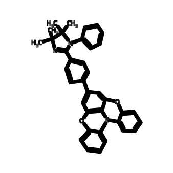 CC1(C)N=C(c2ccc(-c3cc4c5c(c3)Oc3ccccc3B5c3ccccc3O4)cc2)N(c2ccccc2)C1(C)C